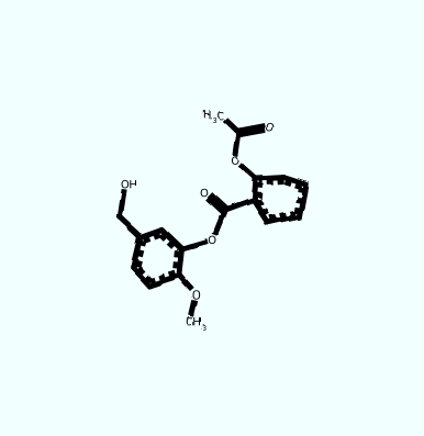 COc1ccc(CO)cc1OC(=O)c1ccccc1OC(C)=O